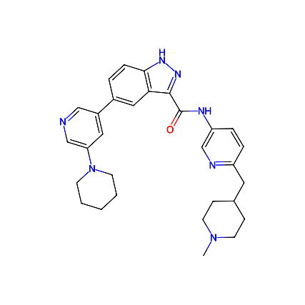 CN1CCC(Cc2ccc(NC(=O)c3n[nH]c4ccc(-c5cncc(N6CCCCC6)c5)cc34)cn2)CC1